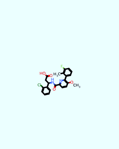 COc1ccc(C(=O)NC(CC(=O)O)c2ccccc2Cl)nc1-c1cccc(F)c1C